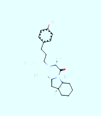 CCOC(=O)[C@H](CCc1ccc(O)cc1)N[C@@H](C)C(=O)N1[C@H](C(=O)O)C[C@H]2CCCC[C@@H]21